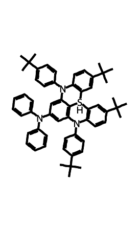 CC(C)(C)c1ccc(N2c3ccc(C(C)(C)C)cc3[SH]3c4cc(C(C)(C)C)ccc4N(c4ccc(C(C)(C)C)cc4)c4cc(N(c5ccccc5)c5ccccc5)cc2c43)cc1